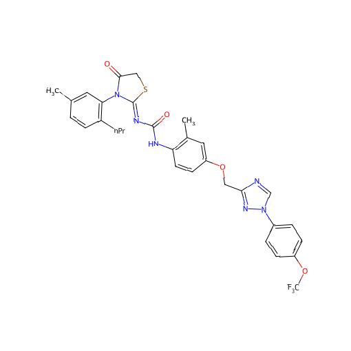 CCCc1ccc(C)cc1N1C(=O)CSC1=NC(=O)Nc1ccc(OCc2ncn(-c3ccc(OC(F)(F)F)cc3)n2)cc1C